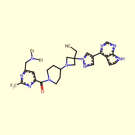 CCN(CC)Cc1cc(C(=O)N2CCC(N3CC(CC#N)(n4cc(-c5ncnc6[nH]ccc56)cn4)C3)CC2)nc(C(F)(F)F)n1